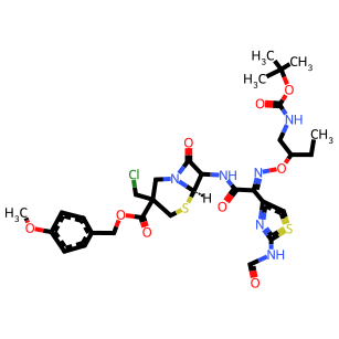 CCC(CNC(=O)OC(C)(C)C)ON=C(C(=O)NC1C(=O)N2CC(CCl)(C(=O)OCc3ccc(OC)cc3)CS[C@H]12)c1csc(NC=O)n1